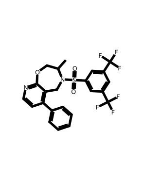 CC1COc2nccc(-c3ccccc3)c2CN1S(=O)(=O)c1cc(C(F)(F)F)cc(C(F)(F)F)c1